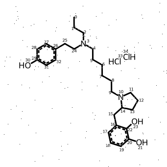 CCCN(CCCCCCN1CCCC1Cc1cccc(O)c1O)CCc1ccc(O)cc1.Cl.Cl